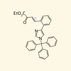 CCOC(=O)C(=O)/C=C/c1ccccc1-c1cn(C(c2ccccc2)(c2ccccc2)c2ccccc2)cn1